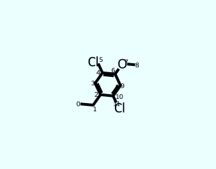 CCc1cc(Cl)c(OC)[c]c1Cl